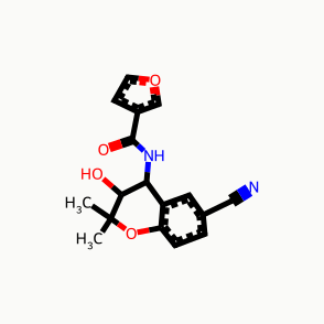 CC1(C)Oc2ccc(C#N)cc2C(NC(=O)c2ccoc2)C1O